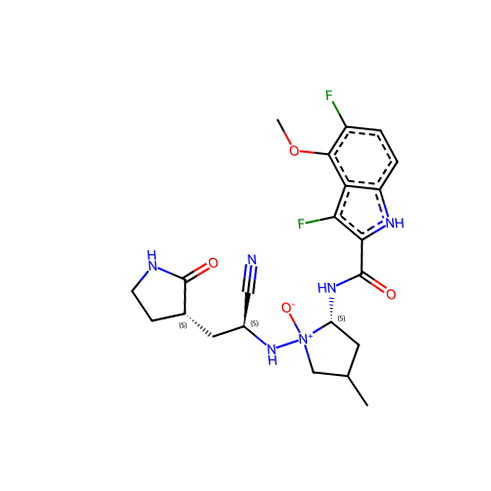 COc1c(F)ccc2[nH]c(C(=O)N[C@@H]3CC(C)C[N+]3([O-])N[C@H](C#N)C[C@@H]3CCNC3=O)c(F)c12